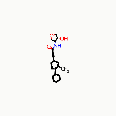 O=C(C#Cc1ccc(-c2ccccc2)c(C(F)(F)F)c1)N[C@@H]1COC[C@@H]1O